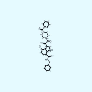 O=C(NCc1ccccc1)c1ccc(F)c2c(C(=O)C(=O)N3CCN(C(=O)c4ccccc4)CC3)c[nH]c12